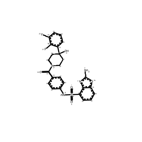 Nc1nc2c(S(=O)(=O)Nc3ccc(C(=O)N4CCC(O)(c5cccc(F)c5F)CC4)cc3)cccc2s1